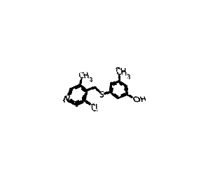 Cc1cc(O)cc(SCc2c(C)cncc2Cl)c1